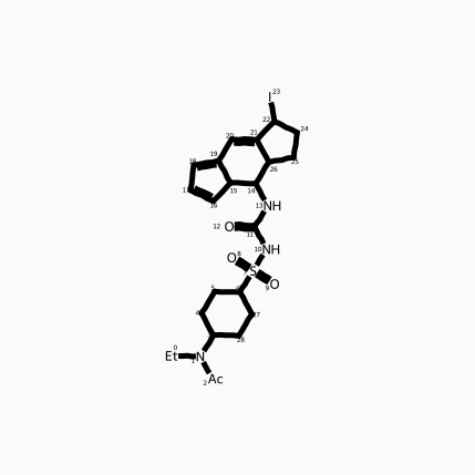 CCN(C(C)=O)C1CCC(S(=O)(=O)NC(=O)NC2C3C=CC=C3C=C3C(I)CCC32)CC1